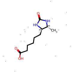 C[C@H]1NC(=O)N[C@@H]1CCCCCC(=O)O